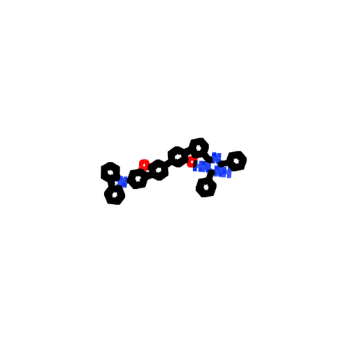 c1ccc(C2N=C(c3cccc4c3oc3cc(-c5ccc6c(c5)oc5cc(-n7c8ccccc8c8ccccc87)ccc56)ccc34)NC(c3ccccc3)N2)cc1